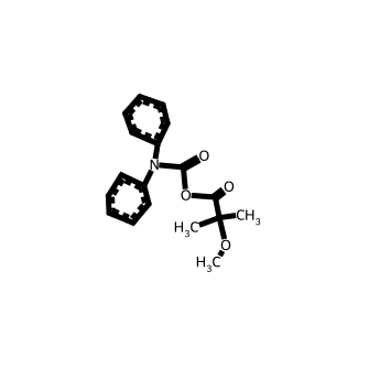 COC(C)(C)C(=O)OC(=O)N(c1ccccc1)c1ccccc1